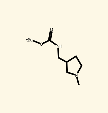 CN1CCC(CNC(=O)OC(C)(C)C)C1